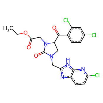 CCOC(=O)CN1C(=O)N(Cc2nc3ccc(Cl)nc3[nH]2)CC1C(=O)c1ccc(Cl)cc1Cl